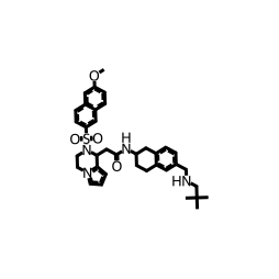 COc1ccc2cc(S(=O)(=O)N3CCn4cccc4C3CC(=O)NC3CCc4cc(CNCC(C)(C)C)ccc4C3)ccc2c1